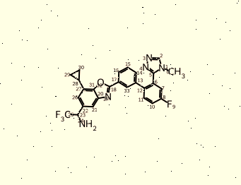 Cn1cnnc1-c1cc(F)ccc1-c1cccc(-c2nc3cc(C(N)C(F)(F)F)cc(C4CC4)c3o2)c1